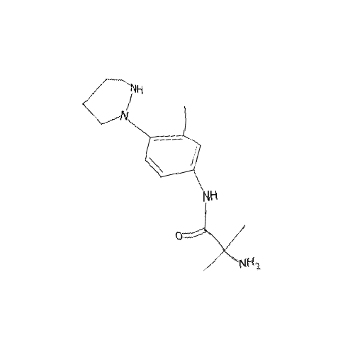 Cc1cc(NC(=O)C(C)(C)N)ccc1N1CCCN1